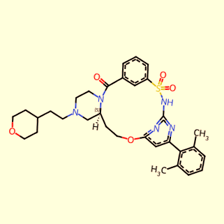 Cc1cccc(C)c1-c1cc2nc(n1)NS(=O)(=O)c1cccc(c1)C(=O)N1CCN(CCC3CCOCC3)C[C@@H]1CCO2